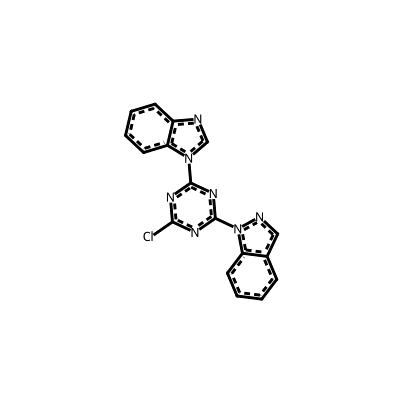 Clc1nc(-n2cnc3ccccc32)nc(-n2ncc3ccccc32)n1